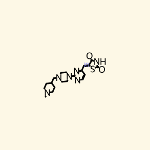 CN1CCC(CN2CCN(c3nccc(/C=C4\SC(=O)NC4=O)n3)CC2)CC1